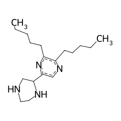 CCCCCc1ncc(C2CNCCN2)nc1CCCCC